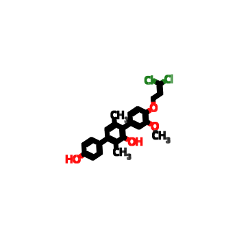 COc1cc(-c2c(C)cc(-c3ccc(O)cc3)c(C)c2O)ccc1OCC=C(Cl)Cl